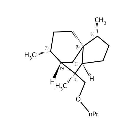 CCCOC[C@@]1(C)[C@H]2C[C@@]3(CC[C@H]2C)[C@H](C)CC[C@@H]13